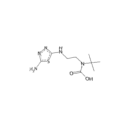 CC(C)(C)N(CCNc1nnc(N)s1)C(=O)O